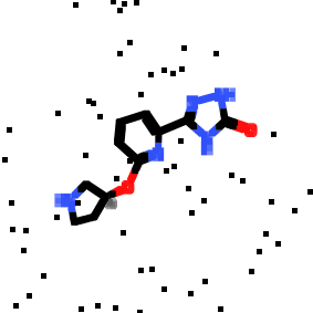 O=c1[nH]nc(-c2cccc(O[C@H]3CCNC3)n2)[nH]1